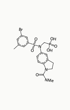 CNC(=O)N1CCc2cc(N(CP(=O)(O)O)S(=O)(=O)c3cc(C)cc(Br)c3)ccc21